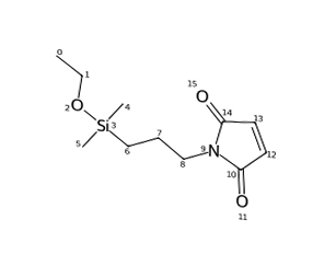 CCO[Si](C)(C)CCCN1C(=O)C=CC1=O